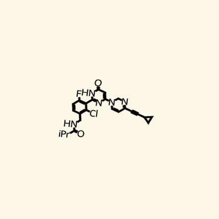 CC(C)C(=O)NCc1ccc(F)c(-c2nc(N3C=CC(C#CC4CC4)=NC3)cc(=O)[nH]2)c1Cl